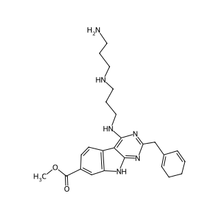 COC(=O)c1ccc2c(c1)[nH]c1nc(CC3=CCCC=C3)nc(NCCCNCCCN)c12